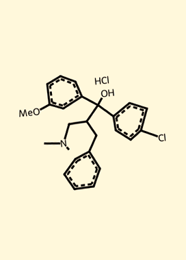 COc1cccc(C(O)(c2ccc(Cl)cc2)C(Cc2ccccc2)CN(C)C)c1.Cl